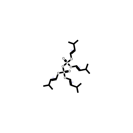 CC(C)/C=C/OP(=O)(O/C=C/C(C)C)OP(=O)(O/C=C/C(C)C)O/C=C/C(C)C